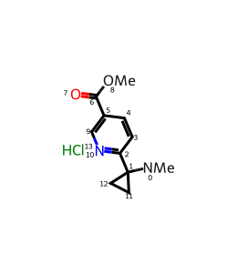 CNC1(c2ccc(C(=O)OC)cn2)CC1.Cl